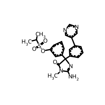 CC(C)S(=O)(=O)Oc1cccc(C2(c3cccc(-c4cncnc4)c3)N=C(N)N(C)C2=O)c1